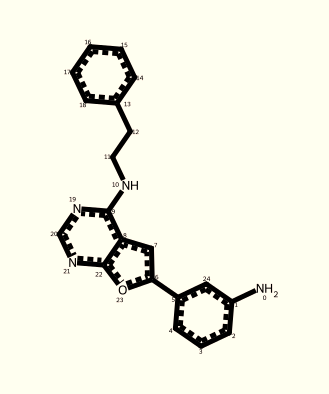 Nc1cccc(-c2cc3c(NCCc4ccccc4)ncnc3o2)c1